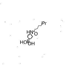 CC(C)CCCCC(=O)Nc1ccc(B(O)O)cc1